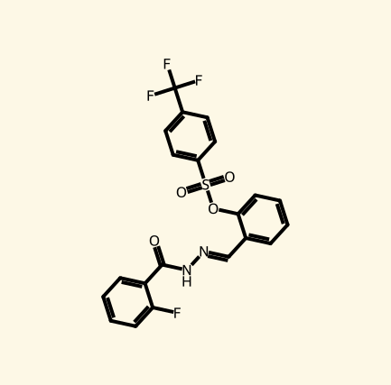 O=C(NN=Cc1ccccc1OS(=O)(=O)c1ccc(C(F)(F)F)cc1)c1ccccc1F